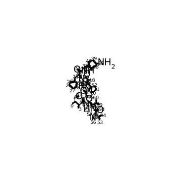 CCC(C)[C@@H]([C@@H](CC(=O)N1CCC[C@H]1[C@H](OC)[C@@H](C)C(=O)N[C@@H](Cc1ccccc1)C(=O)NCc1ccc(N)cc1)OC)N(C)C(=O)[C@@H](NC(=O)[C@H](C(C)C)N(C)C)C(C)C